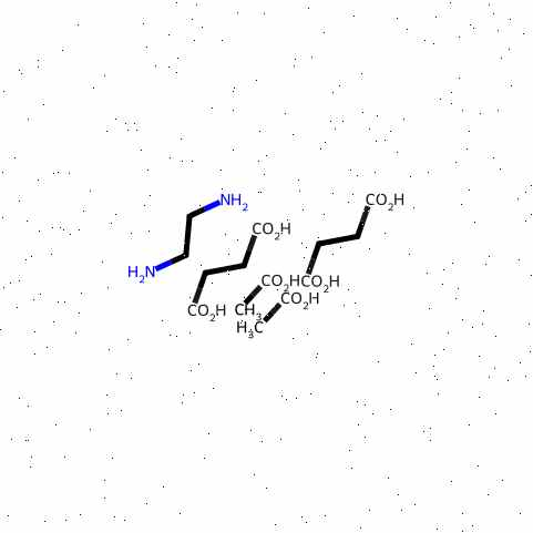 CC(=O)O.CC(=O)O.NCCN.O=C(O)CCC(=O)O.O=C(O)CCC(=O)O